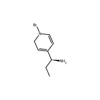 CC[C@H](N)C1=CCN(Br)C=C1